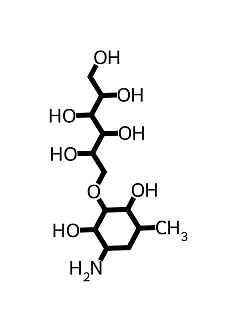 CC1CC(N)C(O)C(OCC(O)C(O)C(O)C(O)CO)C1O